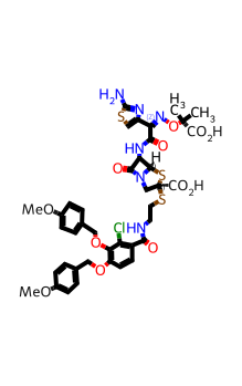 COc1ccc(COc2ccc(C(=O)NCCS[C@]3(C(=O)O)CN4C(=O)C(NC(=O)/C(=N\OC(C)(C)C(=O)O)c5csc(N)n5)[C@H]4S3)c(Cl)c2OCc2ccc(OC)cc2)cc1